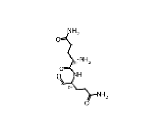 NC(=O)CC[C@@H]([C]=O)NC(=O)[C@@H](N)CCC(N)=O